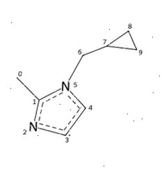 Cc1n[c]cn1CC1CC1